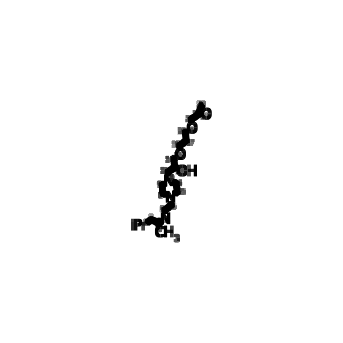 CC(CC(C)C)=NCCN1CCN(CC(O)COCCCOCC2CO2)CC1